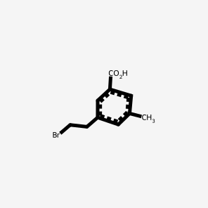 Cc1cc(CCBr)cc(C(=O)O)c1